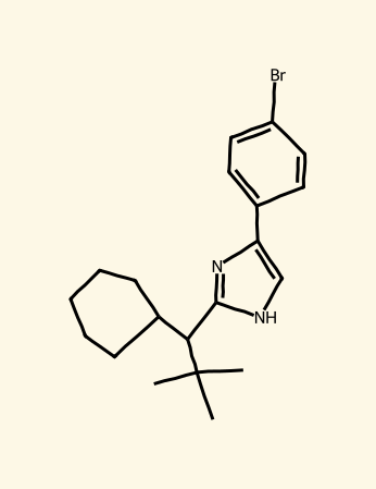 CC(C)(C)C(c1nc(-c2ccc(Br)cc2)c[nH]1)C1CCCCC1